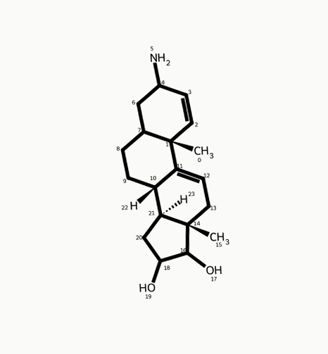 C[C@]12C=CC(N)CC1CC[C@@H]1C2=CC[C@]2(C)C(O)C(O)C[C@@H]12